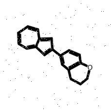 c1ccc2cc(-c3ccc4c(c3)CCCO4)cc-2cc1